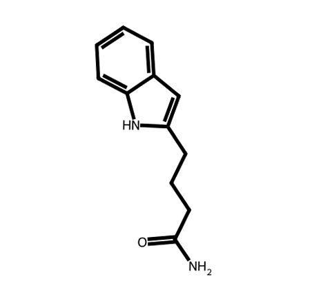 NC(=O)CCCc1cc2ccccc2[nH]1